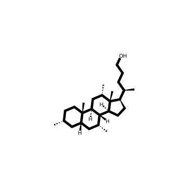 C[C@@H]1CC[C@@]2(C)[C@@H](C1)C[C@@H](C)[C@@H]1[C@@H]2C[C@H](C)[C@]2(C)[C@@H]([C@H](C)CCCO)CC[C@@H]12